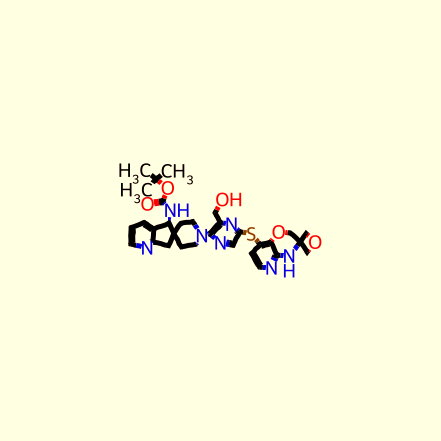 CC(C)(C)OC(=O)N[C@@H]1c2cccnc2CC12CCN(c1ncc(Sc3ccnc4c3OCC3(COC3)N4)nc1CO)CC2